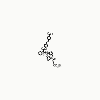 CCOC(=O)CCCC(=O)N(Cc1cccc(C(=O)Nc2sc3c(c2C(=O)Nc2ccc(CCc4ccc(C(=O)CC)cc4)cc2)CCCC3)c1)c1cccnc1